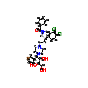 CN(C[C@@H](CCN1CCN(C(c2ccsc2)[C@H](O)[C@H](O)CO)CC1)c1ccc(Cl)c(Cl)c1)C(=O)c1ccccc1